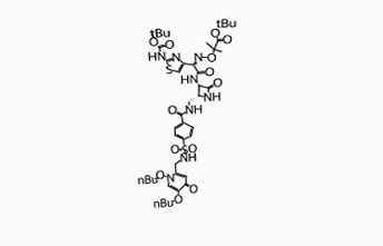 CCCCOc1cn(OCCCC)c(CNS(=O)(=O)c2ccc(C(=O)NC[C@H]3NC(=O)[C@H]3NC(=O)/C(=N\OC(C)(C)C(=O)OC(C)(C)C)c3csc(NC(=O)OC(C)(C)C)n3)cc2)cc1=O